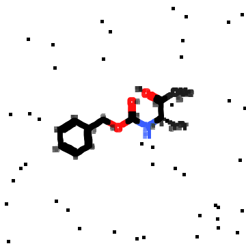 CCC[C@H](NC(=O)OCc1ccccc1)C(=O)OC